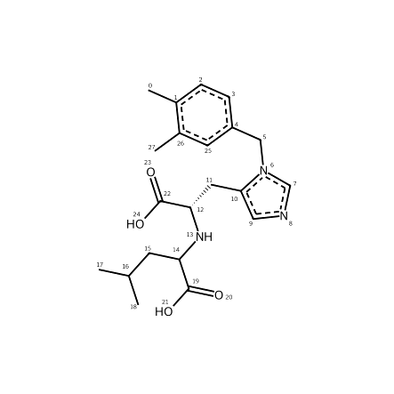 Cc1ccc(Cn2cncc2C[C@H](NC(CC(C)C)C(=O)O)C(=O)O)cc1C